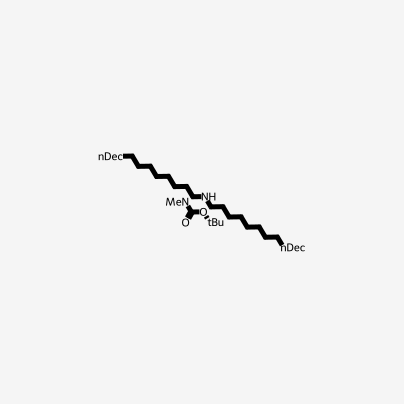 CCCCCCCCCCCCCCCCCCNCCCCCCCCCCCCCCCCCC.CNC(=O)OC(C)(C)C